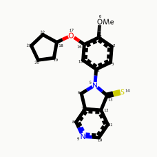 COc1ccc(N2Cc3cnccc3C2=S)cc1OC1CCCC1